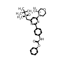 C=S(=O)(Cc1cc(N2CCOC[C@@H]2C)nc(-c2ccc(NC(=O)Oc3ccccc3)cc2)n1)C(C)(C)C